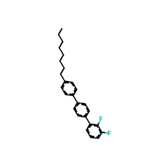 CCCCCCCCc1ccc(-c2ccc(-c3cccc(F)c3F)cc2)cc1